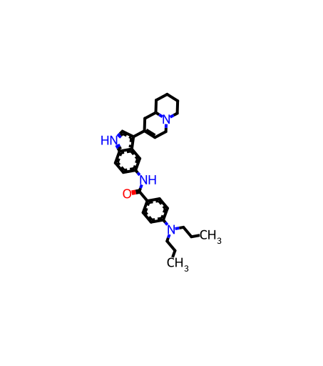 CCCN(CCC)c1ccc(C(=O)Nc2ccc3[nH]cc(C4=CCN5CCCCC5C4)c3c2)cc1